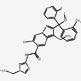 CCc1c(C(OI)(c2ccccc2C)c2ccccc2F)nn2cc(Cl)c(C(=O)Nc3ncn(CC)n3)cc12